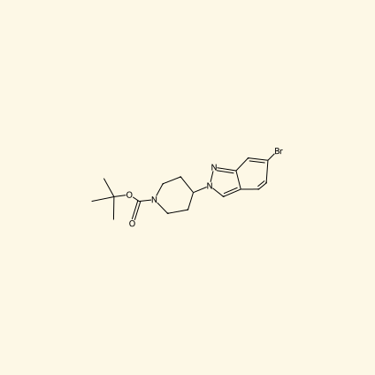 CC(C)(C)OC(=O)N1CCC(n2cc3ccc(Br)cc3n2)CC1